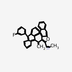 C=C(c1c(/C=C\C)oc2cc3ccccc3cc12)c1c2ccccc2c(-c2cccc(F)c2)c2ccccc12